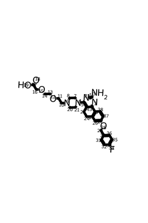 Nc1nc2c(c(N3CCN(CCOCCOCC(=O)O)CC3)n1)CCc1cc(OCc3ccc(F)cc3)ccc1-2